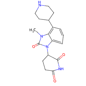 Cn1c(=O)n(C2CCC(=O)NC2=O)c2cccc(C3CCNCC3)c21